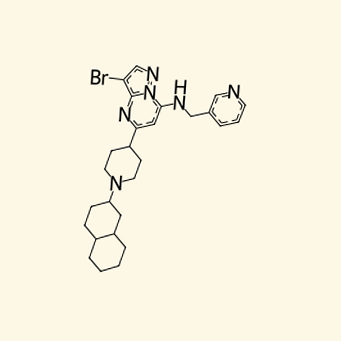 Brc1cnn2c(NCc3cccnc3)cc(C3CCN(C4CCC5CCCCC5C4)CC3)nc12